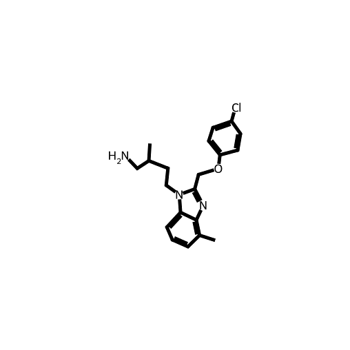 Cc1cccc2c1nc(COc1ccc(Cl)cc1)n2CCC(C)CN